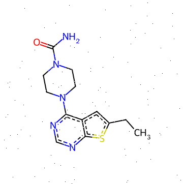 CCc1cc2c(N3CCN(C(N)=O)CC3)ncnc2s1